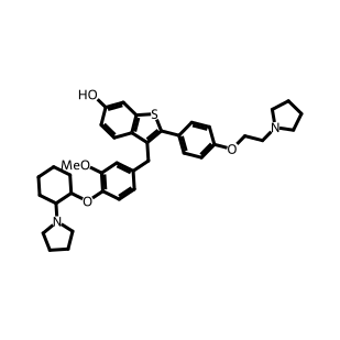 COc1cc(Cc2c(-c3ccc(OCCN4CCCC4)cc3)sc3cc(O)ccc23)ccc1OC1CCCCC1N1CCCC1